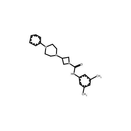 Cc1cc(C)cc(NC(=O)N2CC(N3CCN(c4ccccc4)CC3)C2)c1